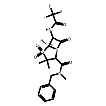 CN(Cc1ccccc1)C(=O)C1N2C(=O)C(NC(=O)C(F)(F)F)[C@@H]2S(=O)(=O)C1(C)C